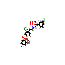 Cl.O=S(=O)(c1ccc(CCNC[C@H](O)c2cccc(Cl)c2)cc1)c1ccccc1O